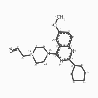 COc1ccc2nc(C3CCCCC3)nc(N3CCN(CC=O)CC3)c2c1